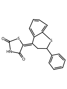 O=C1NC(=O)C(=C2CC(c3ccccc3)Sc3ccccc32)S1